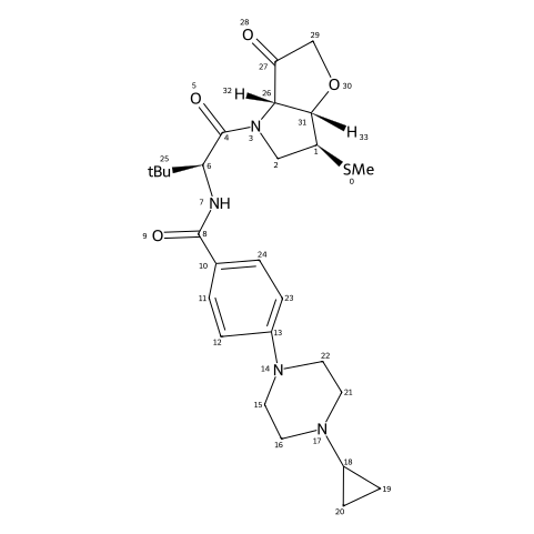 CS[C@H]1CN(C(=O)[C@@H](NC(=O)c2ccc(N3CCN(C4CC4)CC3)cc2)C(C)(C)C)[C@@H]2C(=O)CO[C@H]12